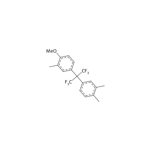 COc1ccc(C(c2ccc(C)c(C)c2)(C(F)(F)F)C(F)(F)F)cc1C